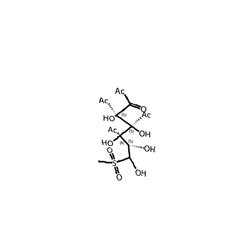 CC(=O)C(=O)[C@@](O)(C(C)=O)[C@](O)(C(C)=O)[C@@](O)(C(C)=O)[C@H](O)C(O)S(C)(=O)=O